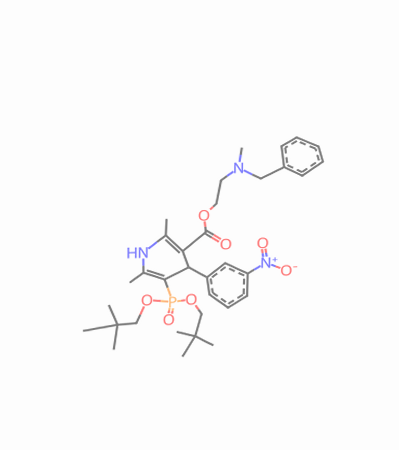 CC1=C(C(=O)OCCN(C)Cc2ccccc2)C(c2cccc([N+](=O)[O-])c2)C(P(=O)(OCC(C)(C)C)OCC(C)(C)C)=C(C)N1